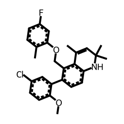 COc1ccc(Cl)cc1-c1ccc2c(c1COc1cc(F)ccc1C)C(C)=CC(C)(C)N2